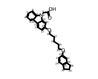 O=C(O)Cn1c2ccccc2c2ccc(OCCCCCOc3ccc4c(c3)CCC4)cc21